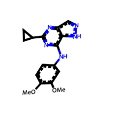 COc1ccc(Nc2nc(C3CC3)nc3cn[nH]c23)cc1OC